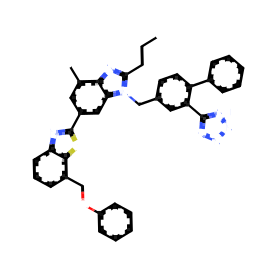 CCCc1nc2c(C)cc(-c3nc4cccc(COc5ccccc5)c4s3)cc2n1Cc1ccc(-c2ccccc2)c(-c2nnn[nH]2)c1